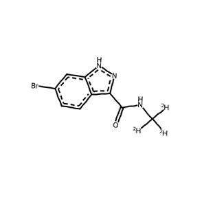 [2H]C([2H])([2H])NC(=O)c1n[nH]c2cc(Br)ccc12